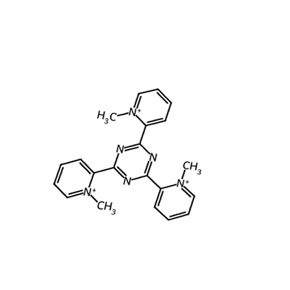 C[n+]1ccccc1-c1nc(-c2cccc[n+]2C)nc(-c2cccc[n+]2C)n1